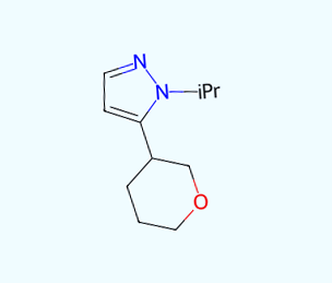 CC(C)n1nccc1C1CCCOC1